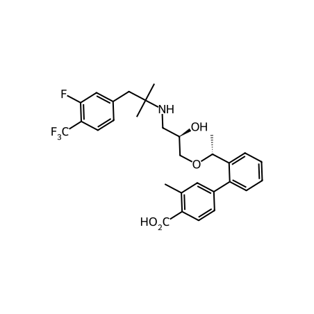 Cc1cc(-c2ccccc2[C@@H](C)OC[C@H](O)CNC(C)(C)Cc2ccc(C(F)(F)F)c(F)c2)ccc1C(=O)O